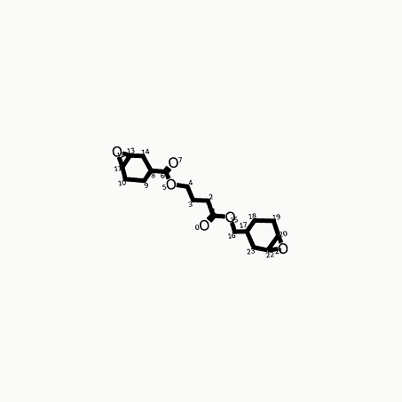 O=C(CCCOC(=O)C1CCC2OC2C1)OCC1CCC2OC2C1